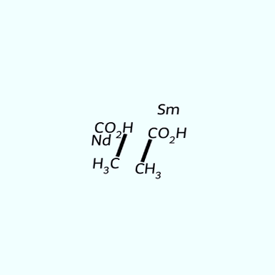 CC(=O)O.CC(=O)O.[Nd].[Sm]